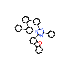 c1ccc(-c2nc(-c3cccc(-c4ccccc4-c4ccccc4-c4ccccc4)c3)nc(-c3cccc4c3oc3ccccc34)n2)cc1